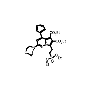 CCOC(=O)c1c(C(=O)OCC)c2c(-c3ccccc3)cc(N3CCOCC3)nn2c1CCP(=O)(OCC)OCC